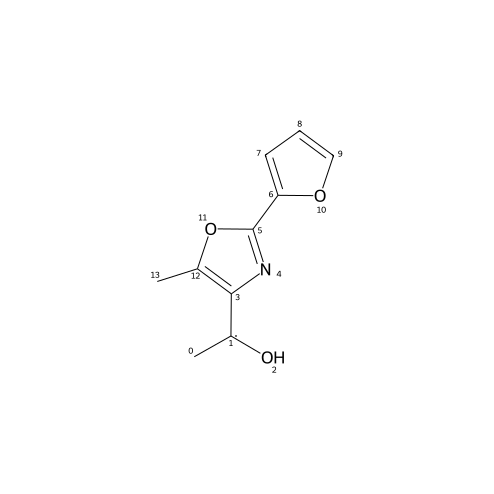 C[C](O)c1nc(-c2ccco2)oc1C